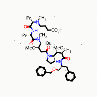 CC[C@H](C)[C@@H]([C@@H](CC(=O)N1CCC[C@H]1[C@H](OC)[C@@H](C)C(=O)N[C@H](COCc1ccccc1)Cc1ccccc1)OC)N(C)C(=O)[C@@H](NC(=O)[C@H](C(C)C)N(C)CCCC(=O)O)C(C)C